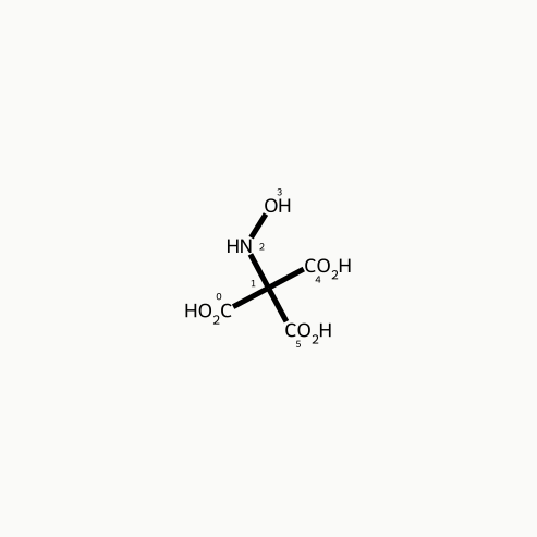 O=C(O)C(NO)(C(=O)O)C(=O)O